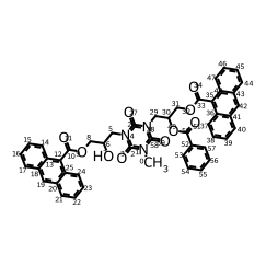 Cn1c(=O)n(CC(O)COC(=O)c2c3ccccc3cc3ccccc23)c(=O)n(CC(COC(=O)c2c3ccccc3cc3ccccc23)OC(=O)c2ccccc2)c1=O